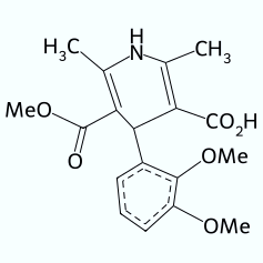 COC(=O)C1=C(C)NC(C)=C(C(=O)O)C1c1cccc(OC)c1OC